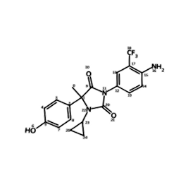 CC1(c2ccc(O)cc2)C(=O)N(c2ccc(N)c(C(F)(F)F)c2)C(=O)N1C1CC1